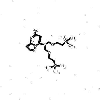 CC(=O)c1cc(N(COCC[Si](C)(C)C)COCC[Si](C)(C)C)n2nccc2n1